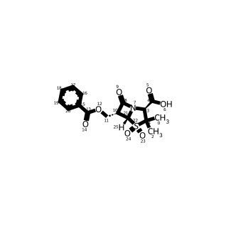 CC1(C)[C@H](C(=O)O)N2C(=O)[C@@H](COC(=O)c3ccccc3)[C@H]2S1(=O)=O